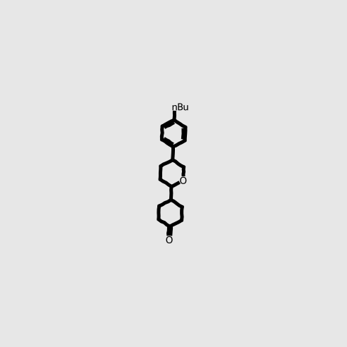 CCCCc1ccc(C2CCC(C3CCC(=O)CC3)OC2)cc1